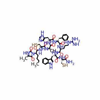 CCCCC(C(=O)N[C@@H](CS)C(=O)N[C@H](C)C(=O)N[C@@H](Cc1cnc[nH]1)C(=O)N[C@H](Cc1ccccc1)C(=O)N[C@@H](CCCNC(=N)N)C(=O)N[C@@H](Cc1c[nH]c2ccccc12)C(=O)N[C@@H](CS)C(N)=O)N1C(=O)N[C@H](C)C1=O